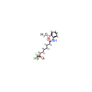 COc1ccccc1NC(=O)CCCCCCC(=O)C(F)(F)F